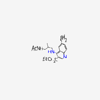 Bc1ccc2ncc(C(=O)OCC)c(NCC(C)CNC(C)=O)c2c1